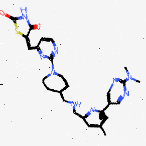 Cc1cc(CNCC2CCN(c3nccc(C=C4SC(=O)NC4=O)n3)CC2)nc(-c2cnc(N(C)C)nc2)c1